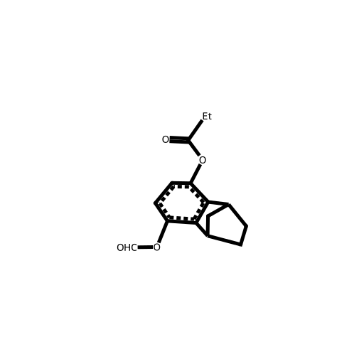 CCC(=O)Oc1ccc(OC=O)c2c1C1CCC2C1